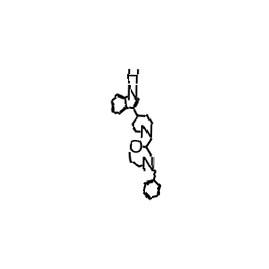 c1ccc(CN2CCCOC(CN3CCC(c4c[nH]c5ccccc45)CC3)C2)cc1